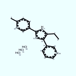 CCc1[nH]c(-c2ccc(C)nc2)nc1-c1cccnc1.Cl.Cl.Cl